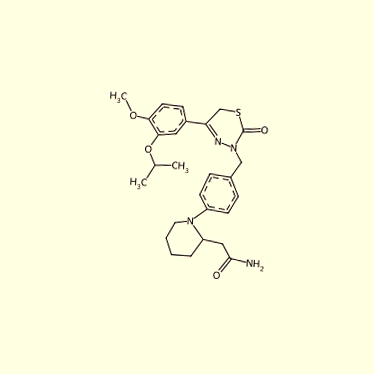 COc1ccc(C2=NN(Cc3ccc(N4CCCCC4CC(N)=O)cc3)C(=O)SC2)cc1OC(C)C